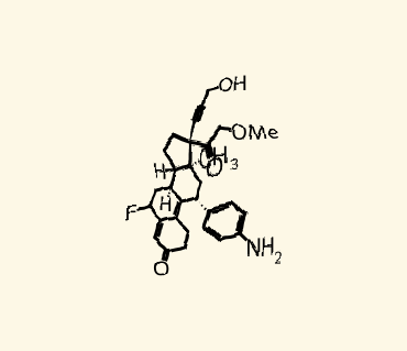 COCC(=O)[C@@]1(C#CCO)CC[C@H]2[C@@H]3CC(F)C4=CC(=O)CCC4=C3[C@@H](c3ccc(N)cc3)C[C@@]21C